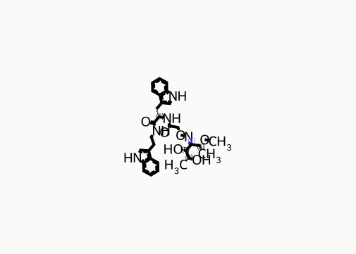 CO[C@@H](C)/C(=N/OCC(=O)N[C@@H](Cc1c[nH]c2ccccc12)C(=O)NCCc1c[nH]c2ccccc12)[C@@H](O)[C@@H](C)O